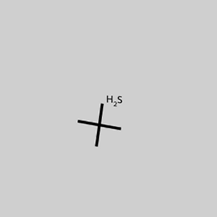 CC(C)(C)C.S